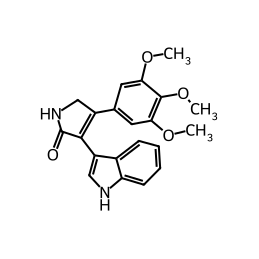 COc1cc(C2=C(c3c[nH]c4ccccc34)C(=O)NC2)cc(OC)c1OC